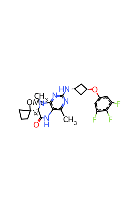 COC1([C@H]2C(=O)Nc3c(C)nc(N[C@H]4C[C@H](Oc5cc(F)c(F)c(F)c5)C4)nc3N2C)CCC1